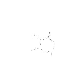 CC1COCC(C)N1C(=O)O.Cl